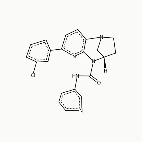 O=C(Nc1cccnc1)N1c2nc(-c3cccc(Cl)c3)ccc2N2CC[C@H]1C2